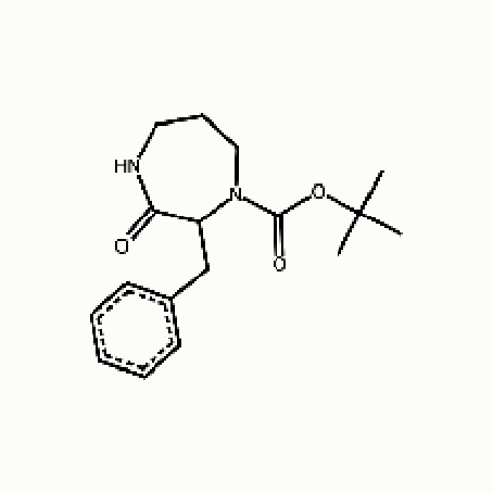 CC(C)(C)OC(=O)N1CCCNC(=O)C1Cc1ccccc1